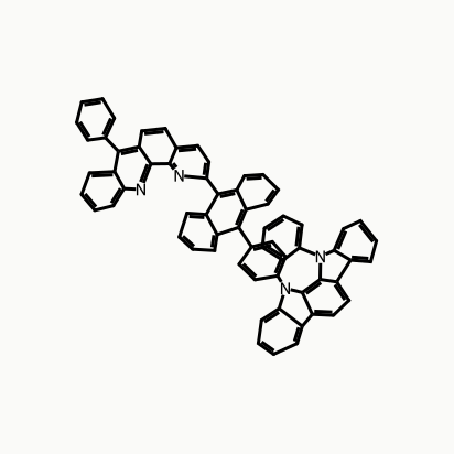 c1ccc(-c2c3ccccc3nc3c2ccc2ccc(-c4c5ccccc5c(-c5ccc(-n6c7ccccc7c7ccc8c9ccccc9n(-c9ccccc9)c8c76)cc5)c5ccccc45)nc23)cc1